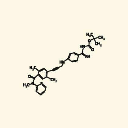 Cc1cc(C(=O)N(C)c2ccccn2)c(C)cc1C#CCNc1ccc(C(=N)NC(=O)OC(C)(C)C)cc1